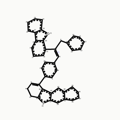 C1=C(c2ccc(/C=C(/Cc3ccccc3)c3cccc4c3oc3ccccc34)cc2)c2c(sc3cc4ccccc4cc23)CC1